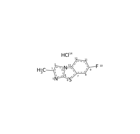 Cc1cn2c(n1)sc1cc(F)ccc12.Cl